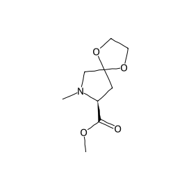 COC(=O)[C@@H]1CC2(CN1C)OCCO2